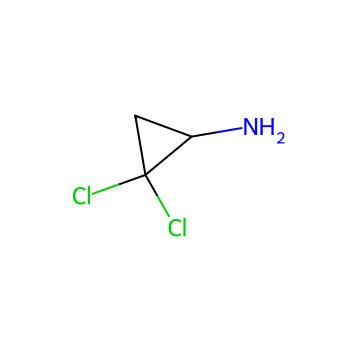 NC1CC1(Cl)Cl